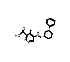 Cc1c(NC[C@H]2CCC[C@@H](c3ccccc3)C2)cnnc1C(=O)O